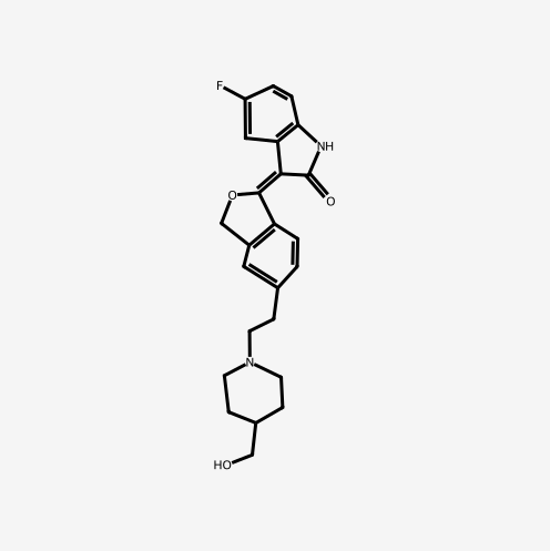 O=C1Nc2ccc(F)cc2/C1=C1\OCc2cc(CCN3CCC(CO)CC3)ccc21